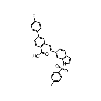 Cc1ccc(S(=O)(=O)n2ccc3ccc(C=Cc4cc(-c5ccc(F)cc5)ccc4C(=O)O)cc32)cc1